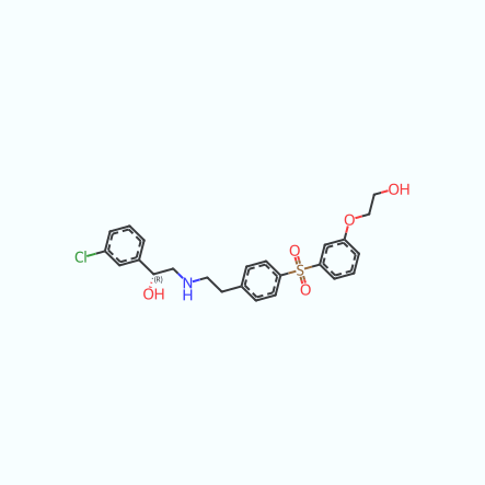 O=S(=O)(c1ccc(CCNC[C@H](O)c2cccc(Cl)c2)cc1)c1cccc(OCCO)c1